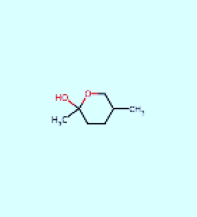 CC1CCC(C)(O)OC1